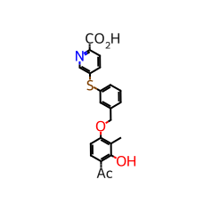 CC(=O)c1ccc(OCc2cccc(Sc3ccc(C(=O)O)nc3)c2)c(C)c1O